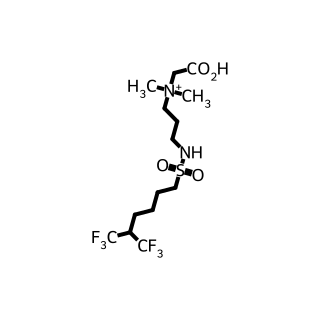 C[N+](C)(CCCNS(=O)(=O)CCCCC(C(F)(F)F)C(F)(F)F)CC(=O)O